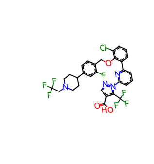 O=C(O)c1cnn(-c2cccc(-c3cccc(Cl)c3OCc3ccc(C4CCN(CC(F)(F)F)CC4)cc3F)n2)c1C(F)(F)F